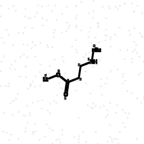 CCCCNCCC(=O)OCC